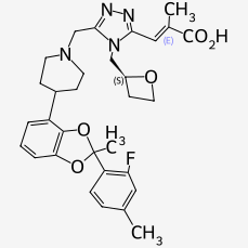 C/C(=C\c1nnc(CN2CCC(c3cccc4c3OC(C)(c3ccc(C)cc3F)O4)CC2)n1C[C@@H]1CCO1)C(=O)O